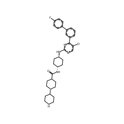 O=C(N[C@H]1CC[C@H](Nc2ncc(Cl)c(-c3cccc(-c4ccc(F)cc4)c3)n2)CC1)C1CCN(C2CCNCC2)CC1